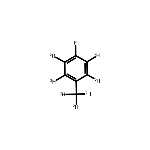 [2H]c1c([2H])c(C([2H])([2H])[2H])c([2H])c([2H])c1F